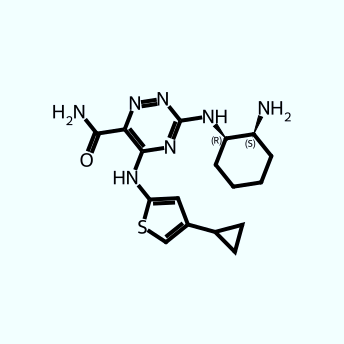 NC(=O)c1nnc(N[C@@H]2CCCC[C@@H]2N)nc1Nc1cc(C2CC2)cs1